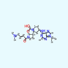 Cc1nc(NC2CCN(C(=O)O)C(C3CCN(C(=O)/C=C/CN(C)C)C3)C2)c2ncn(C(C)C)c2n1